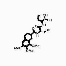 COc1cc2c(c(OC)c1OC)CC(C(=O)N[C@@H](CO)C(=O)NC(CC(C)C)B(O)O)CC2